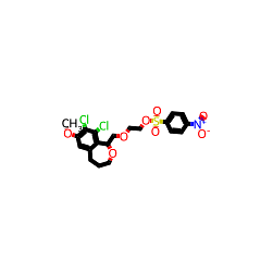 COc1cc2c(c(Cl)c1Cl)C(COCCOS(=O)(=O)c1ccc([N+](=O)[O-])cc1)OCCC2